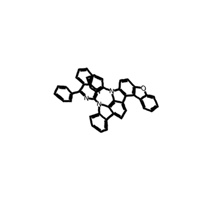 c1ccc(-c2nc(-n3c4ccccc4c4ccc5c6c7c(ccc6n(-c6ccccc6)c5c43)oc3ccccc37)nc3ccccc23)cc1